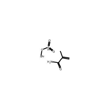 C=C(C)C(N)=O.CCCO[SH](=O)=O